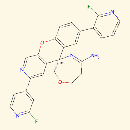 NC1=N[C@]2(COCC1)c1cc(-c3cccnc3F)ccc1Oc1cnc(-c3ccnc(F)c3)cc12